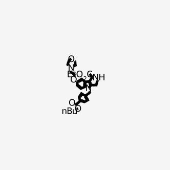 CCCCOC(=O)c1ccc(Cn2c3c(c4cc(OCCN5CCOCC5)ccc42)C(C(=O)OCC)NCC3)cc1